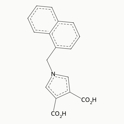 O=C(O)c1cn(Cc2cccc3ccccc23)cc1C(=O)O